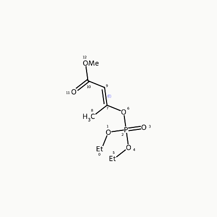 CCOP(=O)(OCC)O/C(C)=C/C(=O)OC